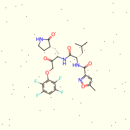 Cc1cc(C(=O)N[C@@H](CC(C)C)C(=O)N[C@@H](C[C@@H]2CCNC2=O)C(=O)COc2c(F)c(F)cc(F)c2F)no1